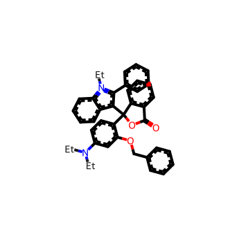 CCN(CC)c1ccc(C2(c3c(-c4ccccc4)n(CC)c4ccccc34)OC(=O)c3ccccc32)c(OCc2ccccc2)c1